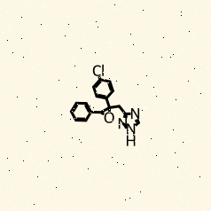 Clc1ccc(C2(Cc3nc[nH]n3)OC2c2ccccc2)cc1